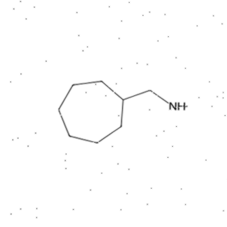 [NH]CC1CCCCCC1